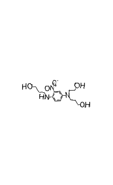 O=[N+]([O-])c1cc(N(CCO)CCCO)ccc1NCCCO